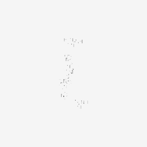 N=C(N)N1CCC(c2cc([C@@H]3CC4(CC4)[C@@H]4CN3C(=O)N4OS(=O)(=O)ON3C(=O)N4C[C@H]3C3(CC3)C[C@H]4c3cc(C4CCN(C(=N)N)CC4)on3)no2)CC1